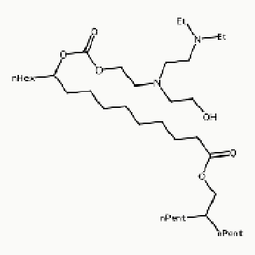 CCCCCCC(CCCCCCCCC(=O)OCC(CCCCC)CCCCC)OC(=O)OCCN(CCO)CCN(CC)CC